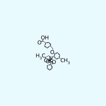 C=C(C)CN(c1cc(C)ccc1OCc1ccc(C(=O)O)cc1)S(=O)(=O)c1ccccc1